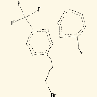 FC(F)(F)c1ccc(CCBr)cc1.Fc1ccccc1